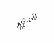 O=C1[C@@H]2[C@H]3CC[C@H](C3)[C@@H]2C(=O)N1CC1=C(CN2CCN(c3nsc4ccccc34)CC2)CCCC1